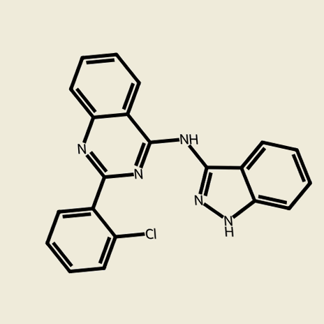 Clc1ccccc1-c1nc(Nc2n[nH]c3ccccc23)c2ccccc2n1